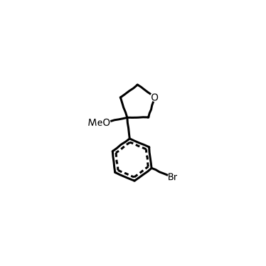 COC1(c2cccc(Br)c2)CCOC1